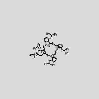 C=CC(=O)OC1(C)C=Cc2c(c3nc4nc(nc5[nH]c(nc6nc(nc2[nH]3)-c2c(OC(C(C)C)C(C)C)cccc2-6)c2c(OC(C(C)C)C(C)C)cccc52)-c2c(OC(C(C)C)C(C)C)cccc2-4)C(OC(C(C)C)C(C)C)=C1